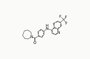 O=C(c1ccc(Nc2ccnc3cc(C(F)(F)F)ccc23)cc1)N1CCCCCC1